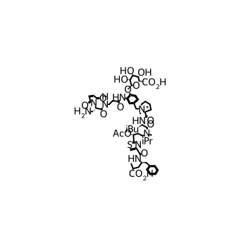 CC[C@H](C)[C@H](NC(=O)C1CCCC[N+]1(C)Cc1ccc(O[C@@H]2O[C@H](C(=O)O)[C@@H](O)[C@H](O)[C@H]2O)c(NC(=O)CCNC(=O)[C@H](CN)N2C(=O)C=CC2=O)c1)C(=O)N(C)[C@H](C[C@@H](OC(C)=O)c1nc(C(=O)N[C@@H](Cc2ccccc2)C[C@H](C)C(=O)O)cs1)C(C)C